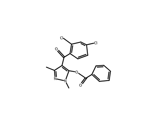 Cc1nn(C)c(OC(=O)c2ccccc2)c1C(=O)c1ccc(Cl)cc1Cl